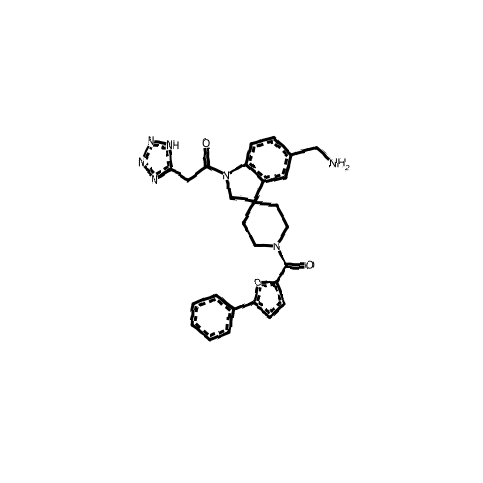 NCc1ccc2c(c1)C1(CCN(C(=O)c3ccc(-c4ccccc4)o3)CC1)CN2C(=O)Cc1nnn[nH]1